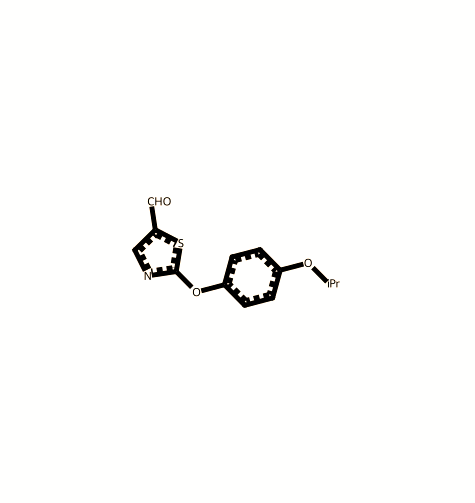 CC(C)Oc1ccc(Oc2ncc(C=O)s2)cc1